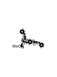 COC(=O)COC(=O)C(Cc1ccc(OC(=O)COCc2ccccc2)cc1)NC(=O)COCc1ccccc1